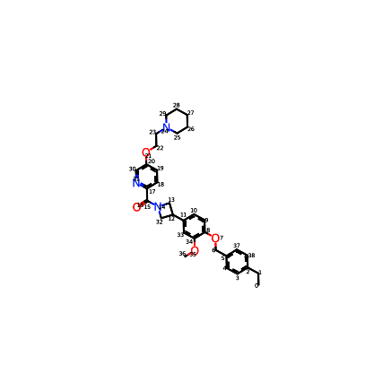 CCc1ccc(COc2ccc(C3CN(C(=O)c4ccc(OCCN5CCCCC5)cn4)C3)cc2OC)cc1